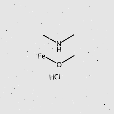 CNC.C[O][Fe].Cl